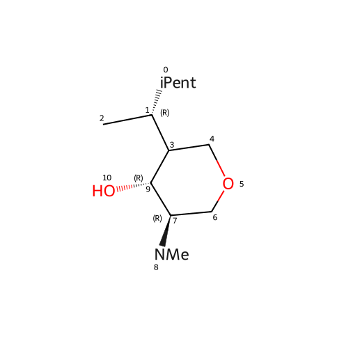 CCCC(C)[C@@H](C)C1COC[C@@H](NC)[C@@H]1O